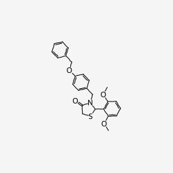 COc1cccc(OC)c1C1SCC(=O)N1Cc1ccc(OCc2ccccc2)cc1